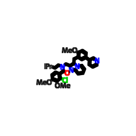 COc1ccc(-c2cccnc2)cc1CC1C(CN(CCC(C)C)C(=O)c2ccc(OC)c(OC)c2Cl)N=C2C=CC=CN21